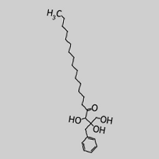 CCCCCCCCCCCCCCCC(=O)C(O)C(O)(CO)Cc1ccccc1